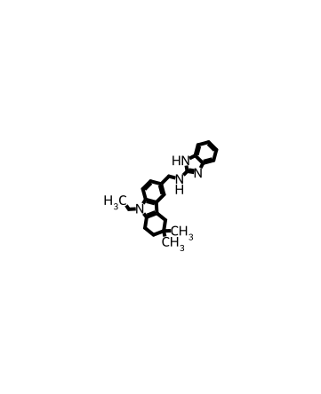 CCn1c2c(c3cc(CNc4nc5ccccc5[nH]4)ccc31)CC(C)(C)CC2